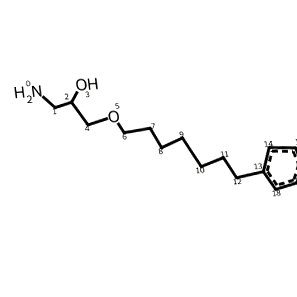 NCC(O)COCCCCCCCc1ccccc1